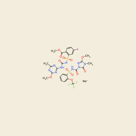 COC(=O)c1ccc(I)cc1S(=O)(=O)[N-]C(=O)Nc1nc(C)nc(OC)n1.COc1nn(C(=O)NS(=O)(=O)c2ccccc2OC(F)(F)F)c(=O)n1C.[Na+]